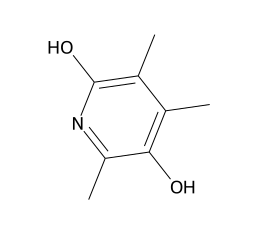 Cc1nc(O)c(C)c(C)c1O